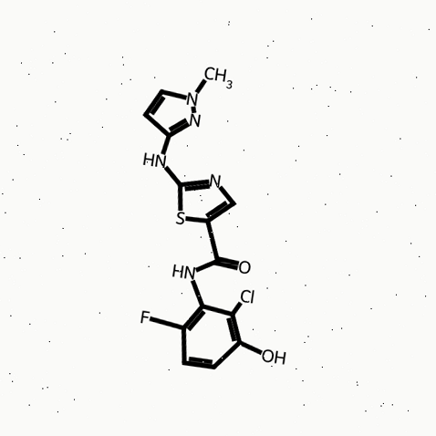 Cn1ccc(Nc2ncc(C(=O)Nc3c(F)ccc(O)c3Cl)s2)n1